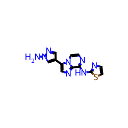 Nn1cc(-c2cnc3c(Nc4nccs4)nccn23)cn1